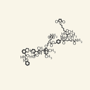 Cc1c(-c2ccc(N3CCc4cccc(C(=O)Nc5nc6ccccc6s5)c4C3)nc2C(=O)O)cnn1CC12CC3(C)CC(C)(C1)CC(OCCN(CCS(N)(=O)=O)C(=O)OCc1ccc(NC(=O)[C@H](CCCNC(N)=O)NC(=O)[C@@H](NC(=O)CCCCCN4C(=O)C=CC4=O)C(C)C)cc1)(C3)C2